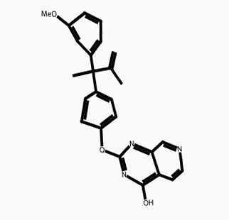 C=C(C)C(C)(c1ccc(Oc2nc(O)c3ccncc3n2)cc1)c1cccc(OC)c1